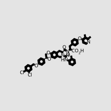 Cc1ccccc1NC(=O)N1Cc2cc3c(cc2C[C@H]1C(=O)NC(Cc1ccc(Oc2ccnc(C)c2C)cc1)C(=O)O)OC[C@H](c1ccc(OCc2ccc(Cl)c(Cl)c2)cc1)O3